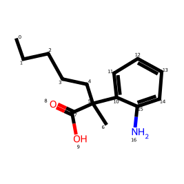 CCCCCC(C)(C(=O)O)c1ccccc1N